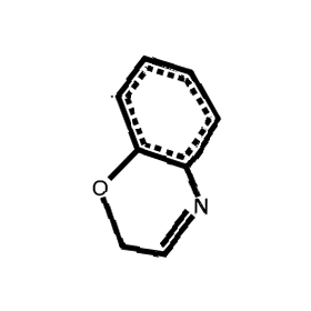 [c]1cccc2c1OCC=N2